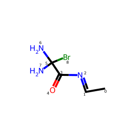 CC=NC(=O)C(N)(N)Br